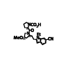 CCn1c(CC[C@H]2C[C@H](OC)CN2C(=O)[C@H]2CCCN2C(=O)O)cc2ccc(C#N)cc21